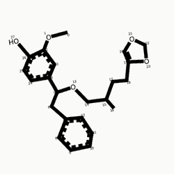 COc1cc(C(Cc2ccccc2)OCC(C)CCC2=COCO2)ccc1O